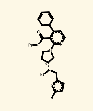 CCN(Cc1ccc(C)s1)[C@@H]1CCN(c2nccc(C3C=CC=CC3)c2C(=O)OC(C)C)C1